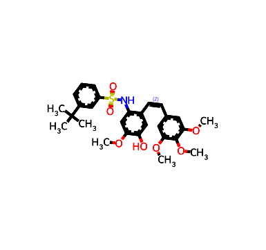 COc1cc(NS(=O)(=O)c2cccc(C(C)(C)C)c2)c(/C=C\c2cc(OC)c(OC)c(OC)c2)cc1O